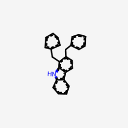 c1ccc(Cc2ccc3c([nH]c4ccccc43)c2Cc2ccccc2)cc1